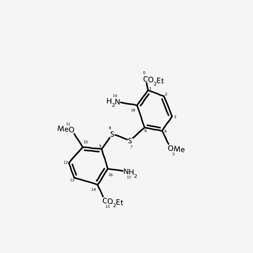 CCOC(=O)c1ccc(OC)c(SSc2c(OC)ccc(C(=O)OCC)c2N)c1N